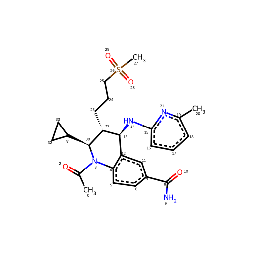 CC(=O)N1c2ccc(C(N)=O)cc2[C@H](Nc2cccc(C)n2)[C@@H](CCCS(C)(=O)=O)[C@@H]1C1CC1